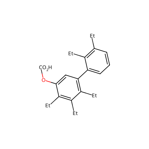 CCc1cccc(-c2cc(OC(=O)O)c(CC)c(CC)c2CC)c1CC